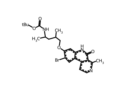 Cc1nccc2c1c(=O)[nH]c1cc(OCC(C)CC(C)NC(=O)OC(C)(C)C)c(Br)cc12